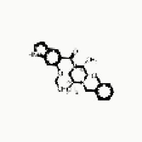 CCOc1cc2[nH]ccc2cc1C(=O)N1C[C@H](C)N(Cc2ccccc2Cl)C[C@H]1C